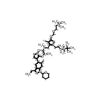 C=Cc1nn(C2CCCCO2)c2cc(F)c(-c3cnn(C)c3O[C@@H](C)CN(C)Cc3c(I)c(OCOCC[Si](C)(C)C)nn3CCO[Si](C)(C)C(C)(C)C)cc12